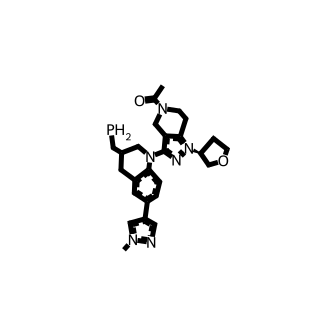 CC(=O)N1CCc2c(c(N3CC(CP)Cc4cc(-c5cnn(C)c5)ccc43)nn2[C@H]2CCOC2)C1